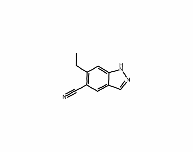 CCc1cc2[nH]ncc2cc1C#N